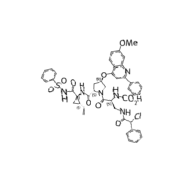 C=C[C@@H]1C[C@]1(NC(=O)[C@@H]1C[C@@H](Oc2cc(-c3ccccc3)nc3cc(OC)ccc23)CN1C(=O)[C@H](CNC(=O)C(Cl)c1ccccc1)NC(=O)O)C(=O)NS(=O)(=O)c1ccccc1